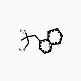 CC(N)(CN)Cc1cccc2ccccc12